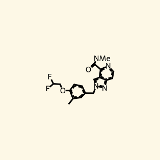 CNC(=O)c1nccc2nn(Cc3ccc(OCC(F)F)c(C)c3)cc12